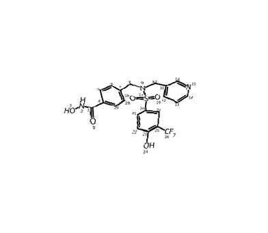 O=C(NO)c1ccc(CN(Cc2cccnc2)S(=O)(=O)c2ccc(O)c(C(F)(F)F)c2)cc1